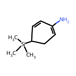 C[Si](C)(C)C1C=CC(N)=CC1